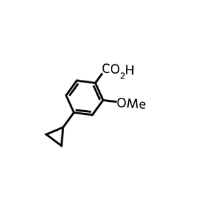 COc1cc(C2CC2)ccc1C(=O)O